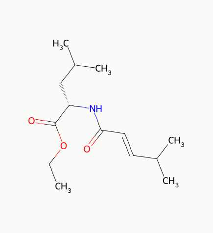 CCOC(=O)[C@H](CC(C)C)NC(=O)C=CC(C)C